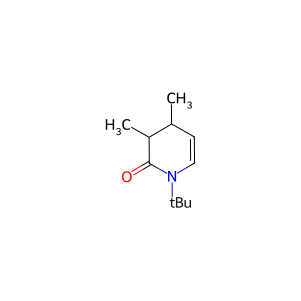 CC1C=CN(C(C)(C)C)C(=O)C1C